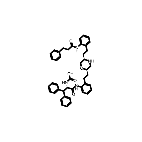 O=C(O)N[C@H](C(=O)Nc1ccccc1CC[C@@H]1CN[C@H](CCc2ccccc2NC(=O)CCc2ccccc2)CO1)C(c1ccccc1)c1ccccc1